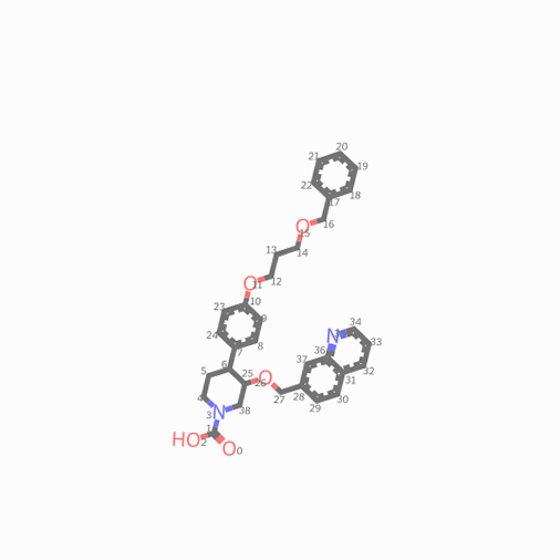 O=C(O)N1CCC(c2ccc(OCCCOCc3ccccc3)cc2)C(OCc2ccc3cccnc3c2)C1